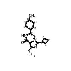 CCc1nc(C2=CC=C2)n2nc(-c3ccc(C)cc3)[nH]c(=O)c12